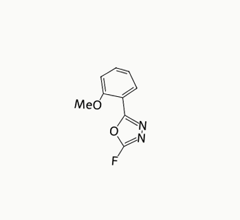 COc1ccccc1-c1nnc(F)o1